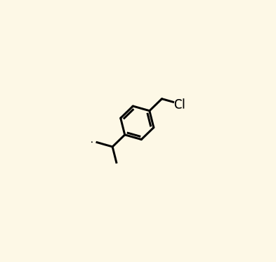 [CH2]C(C)c1ccc(CCl)cc1